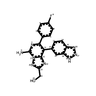 Nc1nc(-c2ccc(F)cc2)c(-c2ccc3nn[nH]c3c2)c2nc(CO)nn12